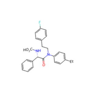 CCc1ccc(N(CCc2ccc(F)cc2)C(=O)[C@@H](NC(=O)O)c2ccccc2)cc1